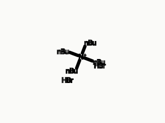 Br.Br.CCCC[N+](CCCC)(CCCC)CCCC